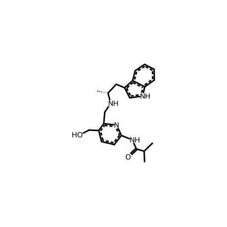 CC(C)C(=O)Nc1ccc(CO)c(CN[C@H](C)Cc2c[nH]c3ccccc23)n1